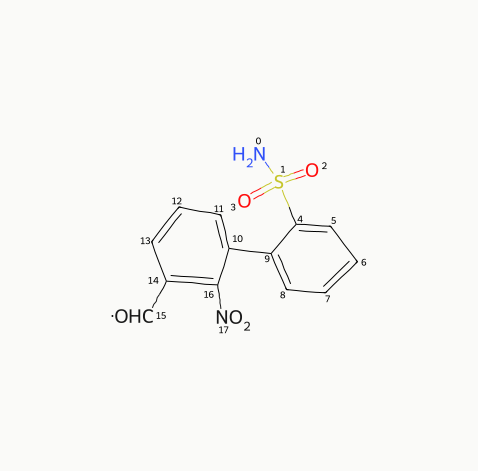 NS(=O)(=O)c1ccccc1-c1cccc([C]=O)c1[N+](=O)[O-]